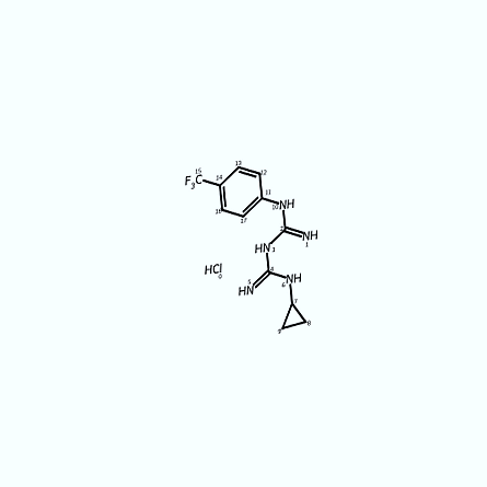 Cl.N=C(NC(=N)NC1CC1)Nc1ccc(C(F)(F)F)cc1